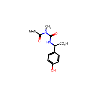 CNC(=O)N(C)C(=O)NC(C(=O)O)c1ccc(O)cc1